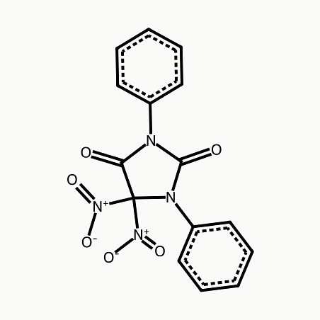 O=C1N(c2ccccc2)C(=O)C([N+](=O)[O-])([N+](=O)[O-])N1c1ccccc1